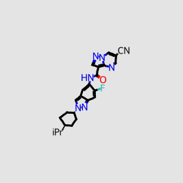 CC(C)[C@H]1CC[C@H](n2cc3cc(NC(=O)c4cnn5cc(C#N)cnc45)c(F)cc3n2)CC1